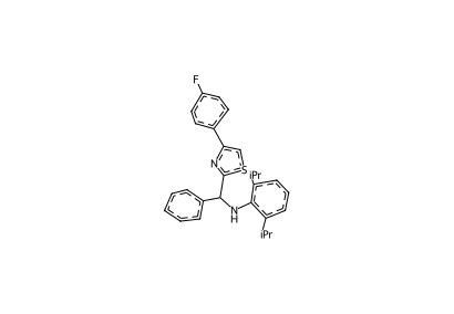 CC(C)c1cccc(C(C)C)c1NC(c1ccccc1)c1nc(-c2ccc(F)cc2)cs1